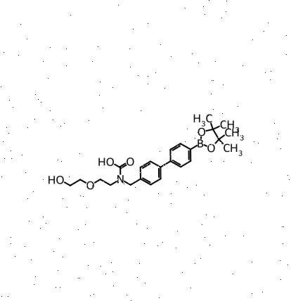 CC1(C)OB(c2ccc(-c3ccc(CN(CCOCCO)C(=O)O)cc3)cc2)OC1(C)C